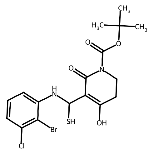 CC(C)(C)OC(=O)N1CCC(O)=C(C(S)Nc2cccc(Cl)c2Br)C1=O